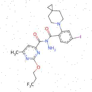 Cc1cc(C(=O)N(N)C(=O)c2ccc(I)cc2N2CCC3(CC2)CC3)nc(OCCC(F)(F)F)n1